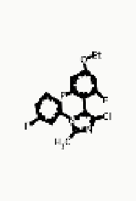 CCOc1cc(F)c(-c2c(Cl)nc(C)n2-c2cccc(F)c2)c(F)c1